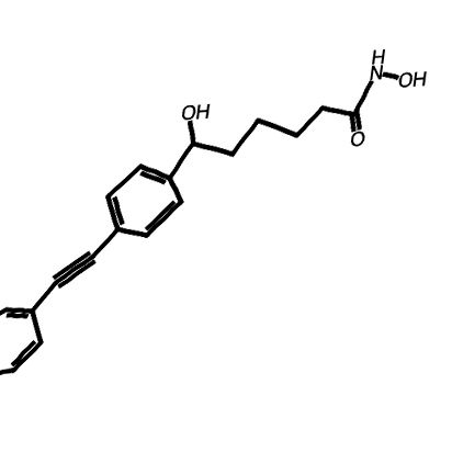 O=C(CCCCC(O)c1ccc(C#Cc2ccccc2)cc1)NO